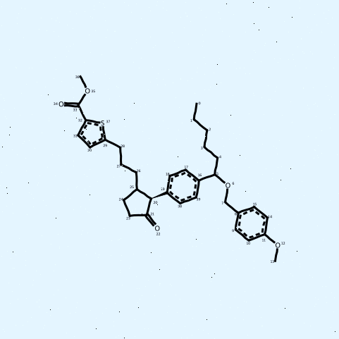 CCCCCC(OCc1ccc(OC)cc1)c1ccc([C@H]2C(=O)CCC2CCCc2ccc(C(=O)OC)s2)cc1